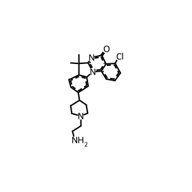 CC1(C)c2ccc(C3CCN(CCN)CC3)cc2-n2c1nc(=O)c1c(Cl)cccc12